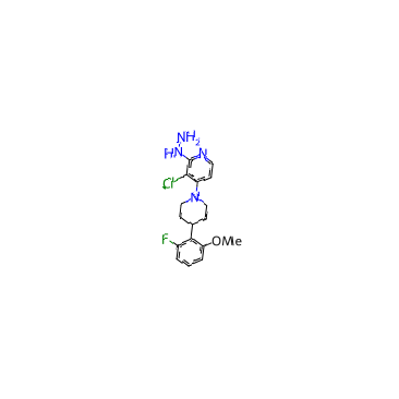 COc1cccc(F)c1C1CCN(c2ccnc(NN)c2Cl)CC1